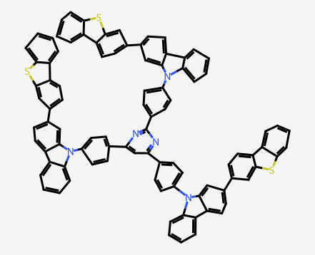 c1ccc2c(c1)sc1cc(-c3ccc4c5ccccc5n(-c5ccc(-c6cc(-c7ccc(-n8c9ccccc9c9ccc(-c%10ccc%11c(c%10)sc%10ccccc%10%11)cc98)cc7)nc(-c7ccc(-n8c9ccccc9c9ccc(-c%10ccc%11c(c%10)sc%10ccccc%10%11)cc98)cc7)n6)cc5)c4c3)ccc12